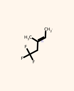 [CH2]/C=C(\C)CC(F)(F)F